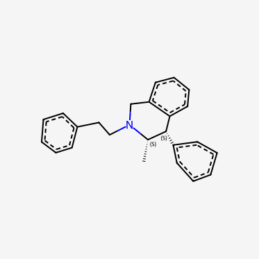 C[C@H]1[C@@H](c2ccccc2)c2ccccc2CN1CCc1ccccc1